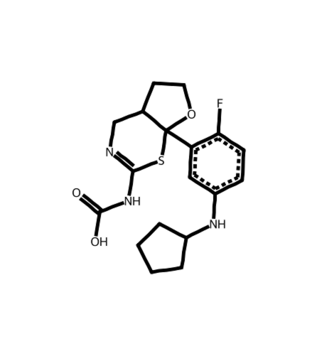 O=C(O)NC1=NCC2CCOC2(c2cc(NC3CCCC3)ccc2F)S1